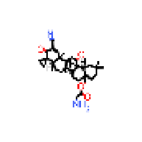 CC1(C)CC[C@]2(COC(=O)CN)CC[C@]3(C)[C@H](C(=O)C=C4[C@@]5(C)C=C(C#N)C(=O)C6(CC6)[C@@H]5CC[C@]43C)[C@@H]2C1